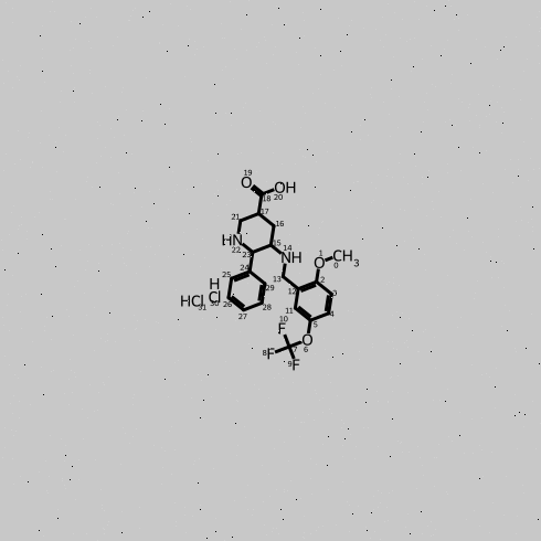 COc1ccc(OC(F)(F)F)cc1CNC1CC(C(=O)O)CNC1c1ccccc1.Cl.Cl